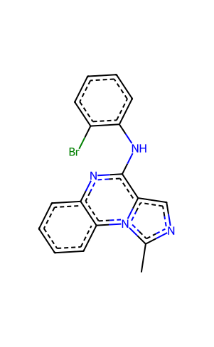 Cc1ncc2c(Nc3ccccc3Br)nc3ccccc3n12